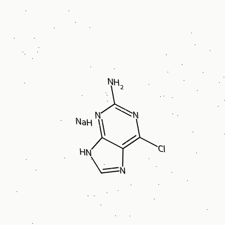 Nc1nc(Cl)c2nc[nH]c2n1.[NaH]